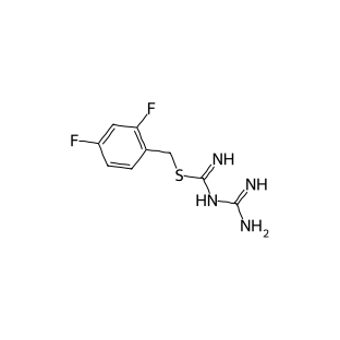 N=C(N)NC(=N)SCc1ccc(F)cc1F